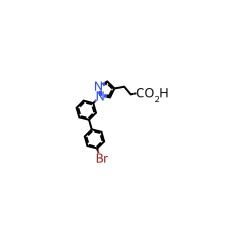 O=C(O)CCc1cnn(-c2cccc(-c3ccc(Br)cc3)c2)c1